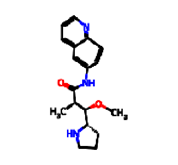 CO[C@@H]([C@@H]1CCCN1)[C@@H](C)C(=O)Nc1ccc2ncccc2c1